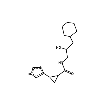 O=C(NCC(O)CC1CCCCC1)C1CC1c1c[nH]cn1